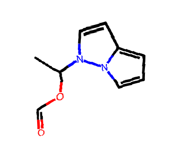 CC(OC=O)n1ccc2cccn21